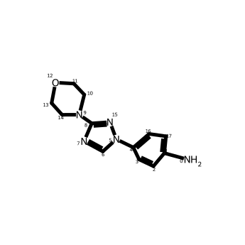 Nc1ccc(-n2cnc(N3CCOCC3)n2)cc1